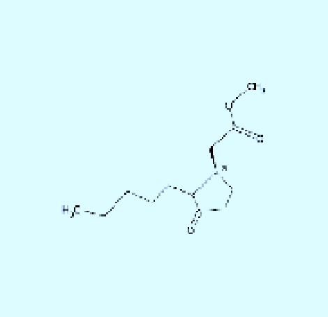 CCCCCC1C(=O)CC[C@@H]1CC(=O)OC